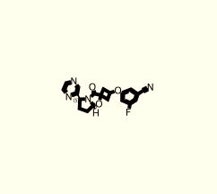 N#Cc1cc(F)cc(OC2CC3(C2)O[C@@H]2CC[C@@H](c4cnccn4)N2C3=O)c1